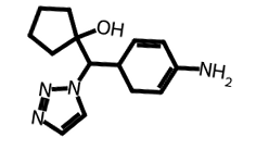 NC1=CCC(C(n2ccnn2)C2(O)CCCC2)C=C1